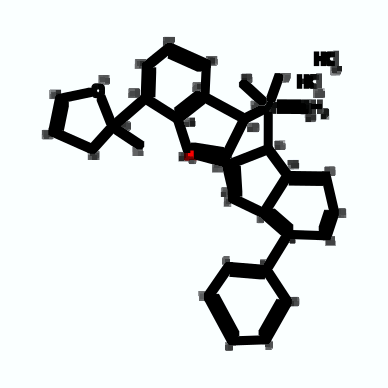 CC1=Cc2c(-c3ccccc3)cccc2[CH]1[Zr]([CH3])([CH3])(=[SiH2])[CH]1C(C)=Cc2c1cccc2C1(C)CC=CO1.Cl.Cl